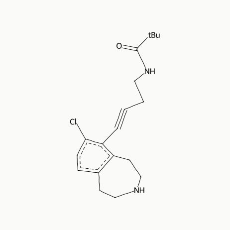 CC(C)(C)C(=O)NCCC#Cc1c(Cl)ccc2c1CCNCC2